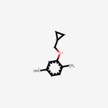 Cc1ccc(C=O)cc1OCC1CC1